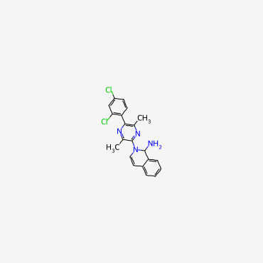 Cc1nc(N2C=Cc3ccccc3C2N)c(C)nc1-c1ccc(Cl)cc1Cl